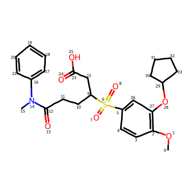 COc1ccc(S(=O)(=O)C(CCC(=O)N(C)c2ccccc2)CC(=O)O)cc1OC1CCCC1